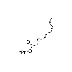 C=C/C=C\C=C\OCC(=O)OCCC